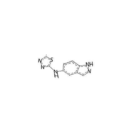 [c]1nnc(Nc2ccc3[nH]ncc3c2)s1